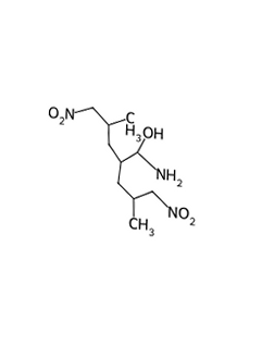 CC(CC(CC(C)C[N+](=O)[O-])C(N)O)C[N+](=O)[O-]